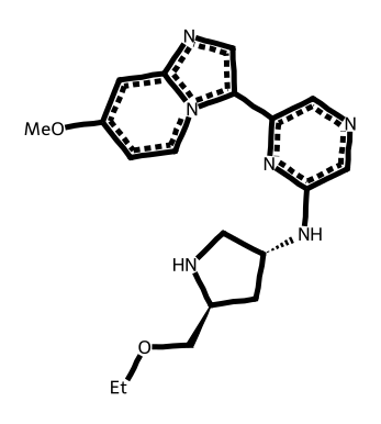 CCOC[C@@H]1C[C@@H](Nc2cncc(-c3cnc4cc(OC)ccn34)n2)CN1